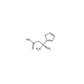 C[C@@](N)(CC(=O)O)c1cccs1